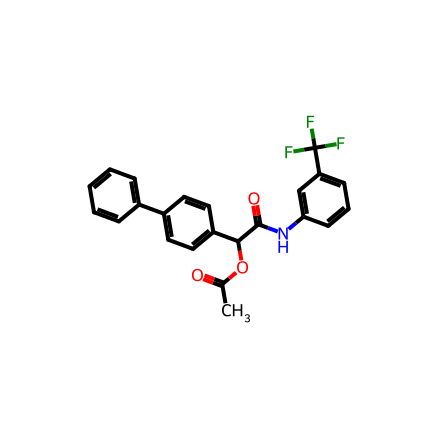 CC(=O)OC(C(=O)Nc1cccc(C(F)(F)F)c1)c1ccc(-c2ccccc2)cc1